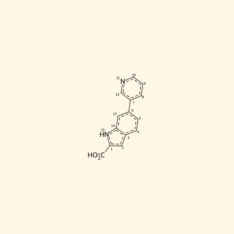 O=C(O)c1cc2ccc(-c3cccnc3)cc2[nH]1